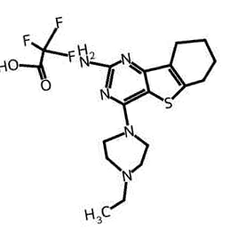 CCN1CCN(c2nc(N)nc3c4c(sc23)CCCC4)CC1.O=C(O)C(F)(F)F